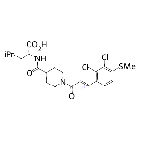 CSc1ccc(/C=C/C(=O)N2CCC(C(=O)NC(CC(C)C)C(=O)O)CC2)c(Cl)c1Cl